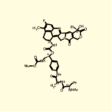 CC[C@@]1(O)C(=O)OCc2c1cc1n(c2=O)Cc2c-1nc1cc(F)c(C)c3c1c2[C@@H](NC(=O)O[C@H](CNC(=O)OC(C)(C)C)c1ccc(NC(=O)[C@H](C)NC(=O)[C@@H](NC(C)=O)C(C)C)cc1)CC3